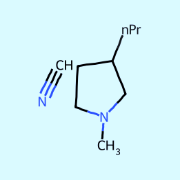 C#N.CCCC1CCN(C)C1